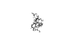 Cc1ccc2c3c1O[C@@H]1C(F)CCC4[C@H](C2)N(CC2CC2)CCC341